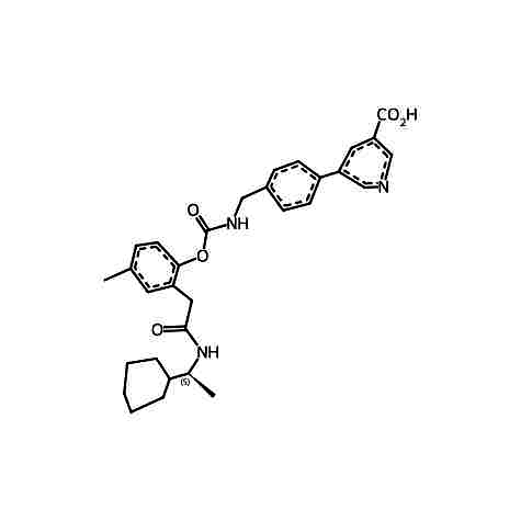 Cc1ccc(OC(=O)NCc2ccc(-c3cncc(C(=O)O)c3)cc2)c(CC(=O)N[C@@H](C)C2CCCCC2)c1